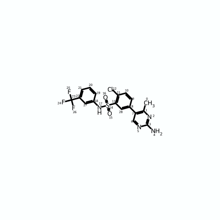 Cc1nc(N)ncc1-c1ccc(Cl)c(S(=O)(=O)Nc2cccc(C(F)(F)F)c2)c1